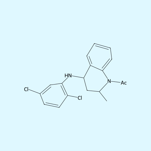 CC(=O)N1c2ccccc2C(Nc2cc(Cl)ccc2Cl)CC1C